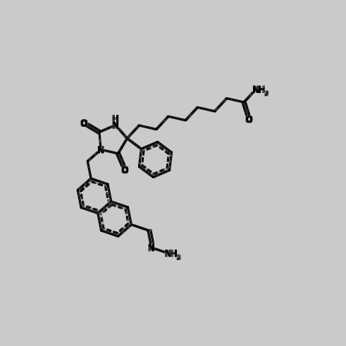 NN=Cc1ccc2ccc(CN3C(=O)NC(CCCCCCCC(N)=O)(c4ccccc4)C3=O)cc2c1